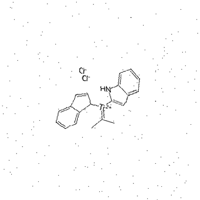 C[C](C)=[Ti+2]([c]1cc2ccccc2[nH]1)[CH]1C=Cc2ccccc21.[Cl-].[Cl-]